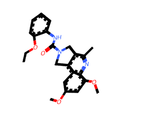 CCOc1ccccc1NC(=O)N1Cc2c(C)nc3c(OC)cc(OC)cc3c2C1